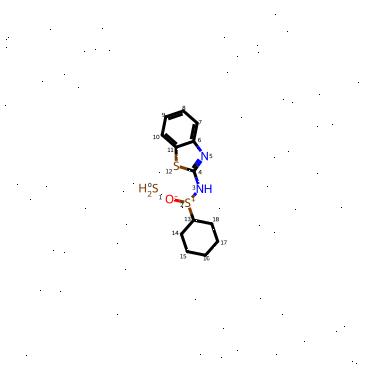 S.[O-][S+](Nc1nc2ccccc2s1)C1CCCCC1